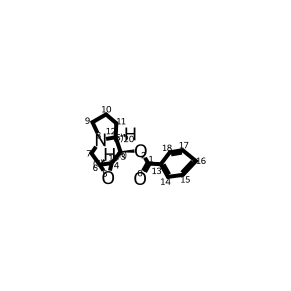 O=C(O[C@H]1C2O[C@H]2CN2CCC[C@@H]12)c1ccccc1